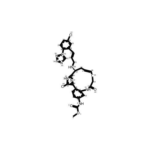 COC(=O)Nc1ccc2c(c1)NC(=O)CC/C=C/C[C@H](NC/C=C/c1cc(Cl)ccc1-n1cnnn1)c1nc-2c(Cl)[nH]1